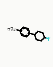 CCCCc1ccc(C2CCC(F)CC2)cc1